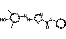 Cc1cc(/N=N/c2cnc(C(=O)Sc3ccccc3)s2)cc(C)c1O